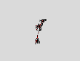 CC(C)(C)[C@H](NC(=O)c1cc2cc(C(F)(F)P(=O)(O)O)ccc2s1)C(=O)N1C[C@@H](OCC(=O)NCCCCCCCCC#Cc2ccc3c(c2)C(=O)N(C2CCC(=O)NC2=O)C3=O)C[C@H]1C(=O)N1CCOC(c2ccccc2)C1